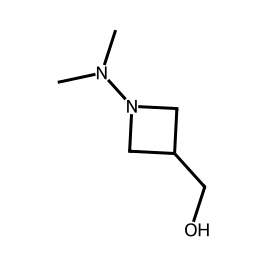 CN(C)N1CC(CO)C1